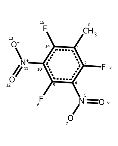 Cc1c(F)c([N+](=O)[O-])c(F)c([N+](=O)[O-])c1F